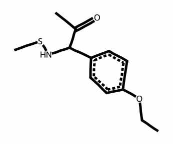 CCOc1ccc(C(NSC)C(C)=O)cc1